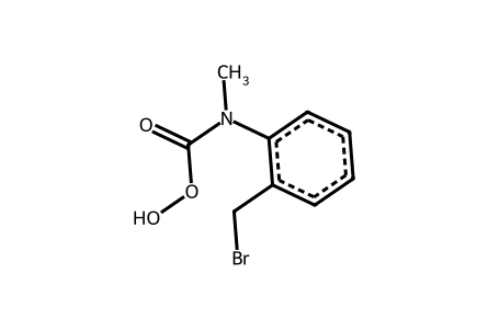 CN(C(=O)OO)c1ccccc1CBr